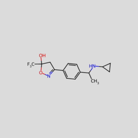 CC(NC1CC1)c1ccc(C2=NOC(O)(C(F)(F)F)C2)cc1